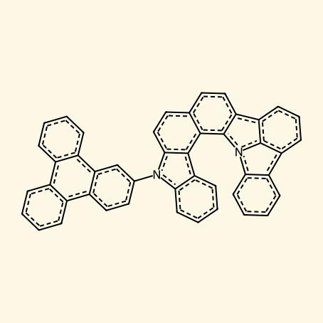 c1ccc2c(c1)c1ccccc1c1cc(-n3c4ccccc4c4c5c(ccc6c7cccc8c9ccccc9n(c87)c65)ccc43)ccc21